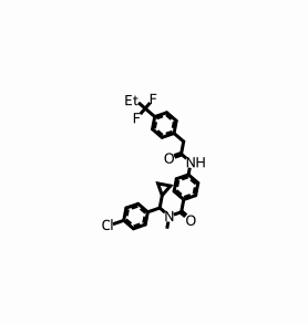 CCC(F)(F)c1ccc(CC(=O)Nc2ccc(C(=O)N(C)C(c3ccc(Cl)cc3)C3CC3)cc2)cc1